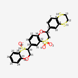 O=S1(=O)CC(c2ccc3c(c2)SCCS3)Oc2ccc(C3COc4ccccc4[S+]3[O-])cc21